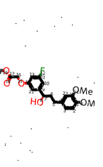 COc1ccc(CC[C@@H](O)c2cc(F)cc(OCC(=O)OC(C)(C)C)c2)cc1OC